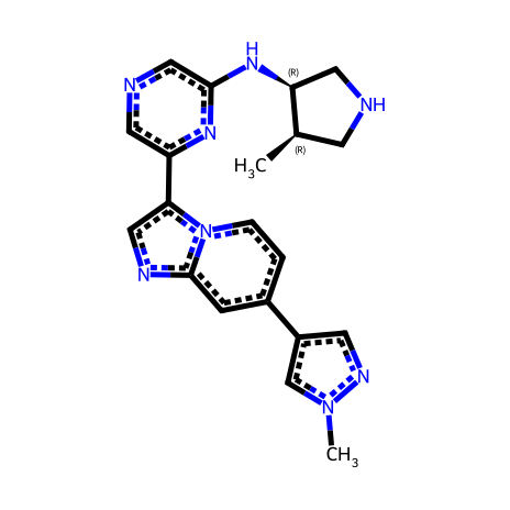 C[C@@H]1CNC[C@@H]1Nc1cncc(-c2cnc3cc(-c4cnn(C)c4)ccn23)n1